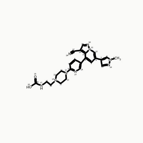 Cn1cc(-c2cc(-c3ccc(N4CCN(CCNC(=O)O)CC4)nc3)c3c(C#N)cnn3c2)cn1